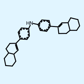 C1=C(c2ccc(Nc3ccc(C4=CC5CCCCC5CC4)cc3)cc2)CCC2CCCCC12